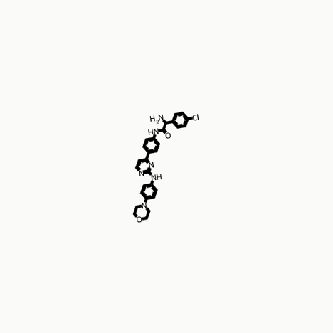 NC(C(=O)Nc1ccc(-c2ccnc(Nc3ccc(N4CCOCC4)cc3)n2)cc1)c1ccc(Cl)cc1